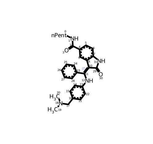 CCCCCNC(=O)c1ccc2c(c1)/C(=C(/Nc1ccc(CN(C)C)cc1)c1ccccc1)C(=O)N2